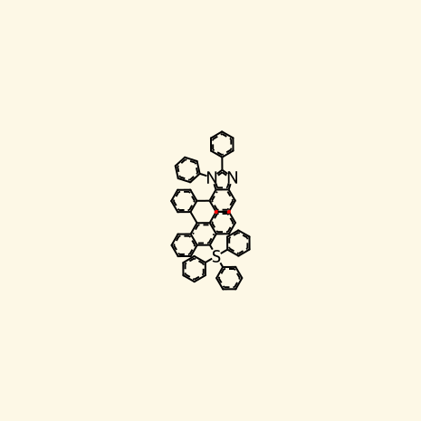 c1ccc(-c2nc3cccc(-c4ccccc4-c4c5ccccc5c(S(c5ccccc5)(c5ccccc5)c5ccccc5)c5ccccc45)c3n2-c2ccccc2)cc1